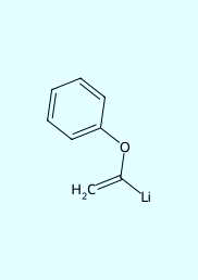 [Li][C](=C)Oc1ccccc1